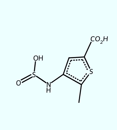 Cc1sc(C(=O)O)cc1NS(=O)O